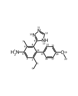 CCc1cc(N)c(C)c(-c2nnc[nH]2)c1-c1ccc(OC)cc1